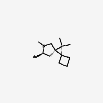 CC(=O)[C@@H]1C[C@]2(CN1C)C(C)(C)C21CCC1